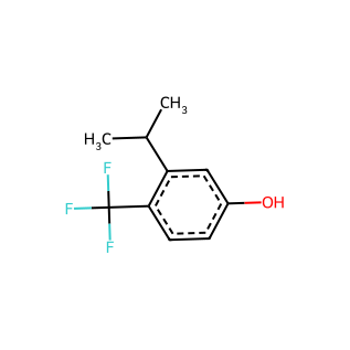 CC(C)c1cc(O)ccc1C(F)(F)F